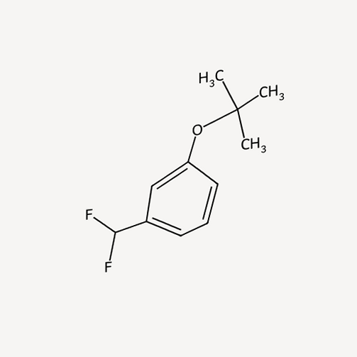 CC(C)(C)Oc1cccc(C(F)F)c1